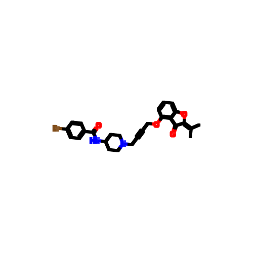 CC(C)=C1Oc2cccc(OCC#CCN3CCC(NC(=O)c4ccc(Br)cc4)CC3)c2C1=O